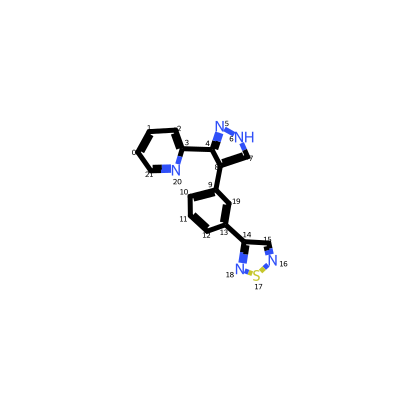 c1ccc(-c2n[nH]cc2-c2cccc(-c3cnsn3)c2)nc1